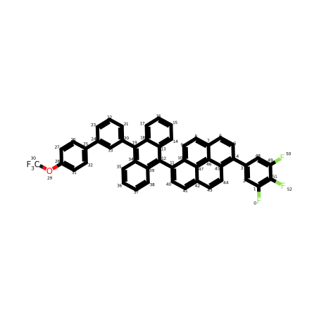 Fc1cc(-c2ccc3ccc4c(-c5c6ccccc6c(-c6cccc(-c7ccc(OC(F)(F)F)cc7)c6)c6ccccc56)ccc5ccc2c3c54)cc(F)c1F